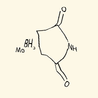 B.O=C1CCC(=O)N1.[Mo]